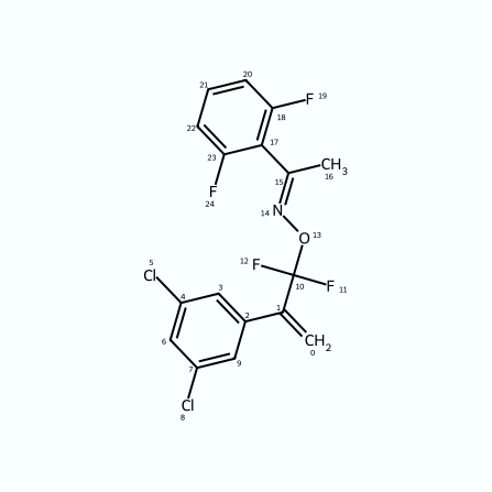 C=C(c1cc(Cl)cc(Cl)c1)C(F)(F)O/N=C(\C)c1c(F)cccc1F